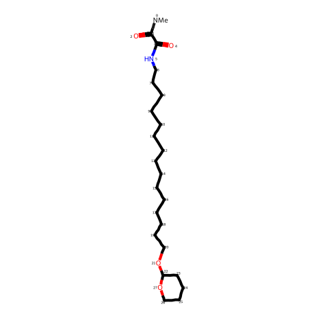 CNC(=O)C(=O)NCCCCCCCCCCCCCCCOC1CCCCO1